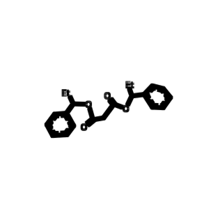 CCC(OC(=O)CC(=O)OC(CC)c1ccccc1)c1ccccc1